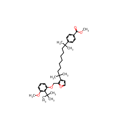 COC(=O)c1ccc(C(C)(C)CCCCCCCC(C)(C)c2ccoc2COc2cccc(OC)c2C(C)(C)C)cc1